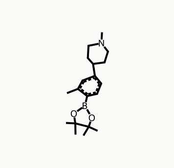 Cc1cc(C2CCN(C)CC2)ccc1B1OC(C)(C)C(C)(C)O1